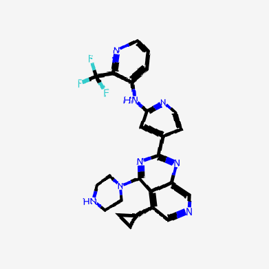 FC(F)(F)c1ncccc1Nc1cc(-c2nc(N3CCNCC3)c3c(C4CC4)cncc3n2)ccn1